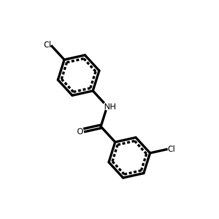 O=C(Nc1ccc(Cl)cc1)c1cccc(Cl)c1